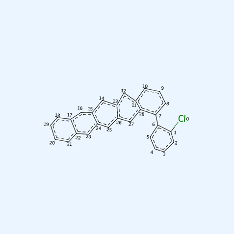 Clc1ccccc1-c1cccc2cc3cc4cc5ccccc5cc4cc3cc12